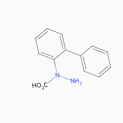 NN(C(=O)O)c1ccccc1-c1ccccc1